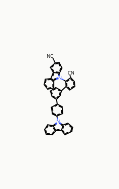 N#Cc1ccc2c(c1)c1ccccc1n2-c1c(C#N)cccc1-c1cccc(-c2ccc(-n3c4ccccc4c4ccccc43)cc2)c1